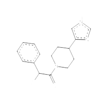 CC(C(=O)N1CCC(c2c[nH]cn2)CC1)c1ccccc1